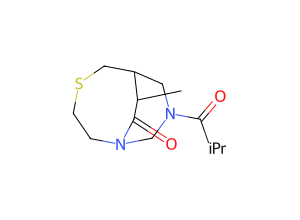 CC(C)C(=O)N1CC2CSCCN(C1)C(=O)C2C